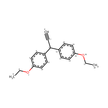 C#CC(c1ccc(OCC)cc1)c1ccc(OCC)cc1